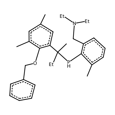 CCN(CC)Cc1cccc(C)c1PC(C)(CC)c1cc(C)cc(C)c1OCc1ccccc1